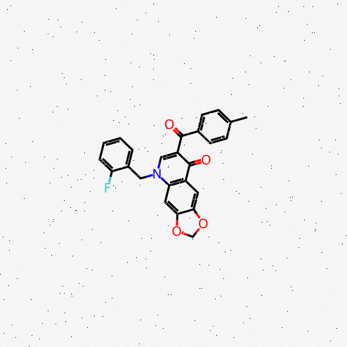 Cc1ccc(C(=O)c2cn(Cc3ccccc3F)c3cc4c(cc3c2=O)OCO4)cc1